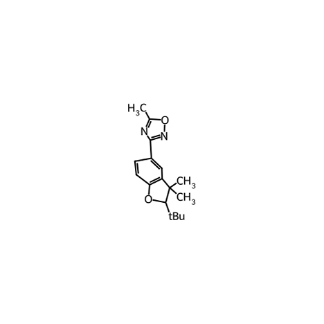 Cc1nc(-c2ccc3c(c2)C(C)(C)C(C(C)(C)C)O3)no1